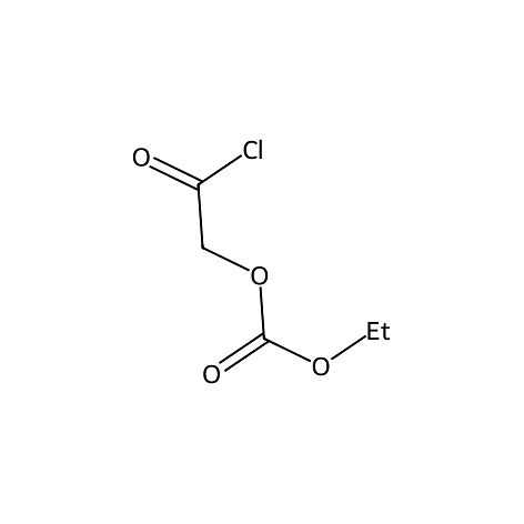 CCOC(=O)OCC(=O)Cl